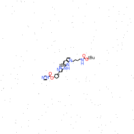 CC(C)(C)OC(=O)NCCCCn1ccc2ccc(Nc3cc([C@H]4CCC(OC(=O)n5ccnc5)C4)nn3C(C)(C)C)nc21